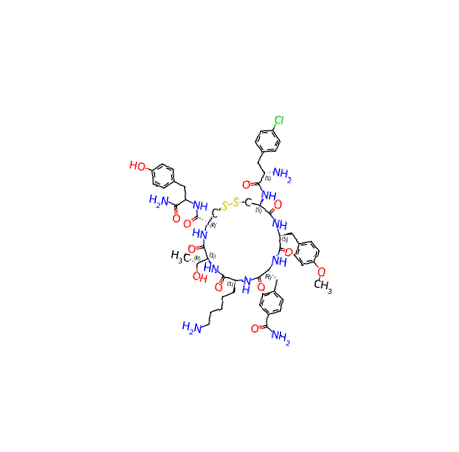 COc1ccc(C[C@@H]2NC(=O)[C@H](NC(=O)[C@@H](N)Cc3ccc(Cl)cc3)CSSC[C@@H](C(=O)NC(Cc3ccc(O)cc3)C(N)=O)NC(=O)[C@H]([C@@H](C)O)NC(=O)[C@H](CCCCCN)NC(=O)[C@@H](Cc3ccc(C(N)=O)cc3)NC2=O)cc1